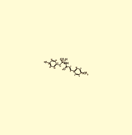 O=C(/C=C/c1ccc(C(F)(F)F)cc1)NC(Cc1ccc(F)cc1)C(=O)O